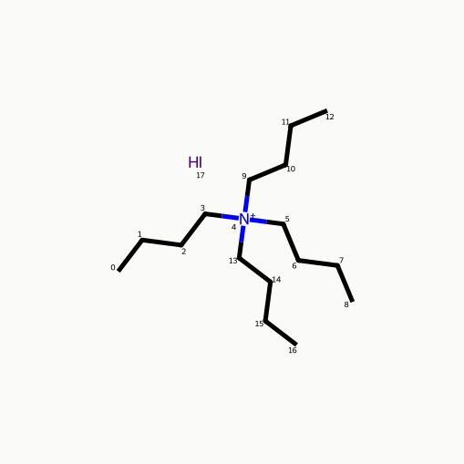 CCCC[N+](CCCC)(CCCC)CCCC.I